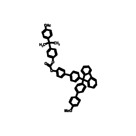 COc1ccc(-c2ccc(C3(c4ccc(-c5ccc(OC(=O)Oc6ccc(C(C)(C)c7ccc(OC(C)=O)cc7)cc6)cc5)cc4)c4ccccc4-c4ccccc43)cc2)cc1